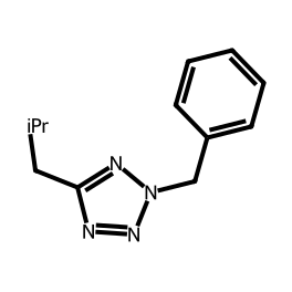 CC(C)Cc1nnn(Cc2ccccc2)n1